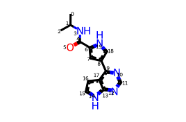 CC(C)NC(=O)c1cc(-c2ncnc3[nH]ccc23)c[nH]1